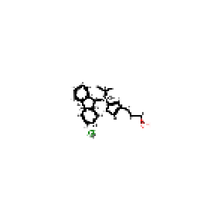 C[C](C)=[Zr+2]([C]1=CC(CCCO)=CC1)[CH]1c2ccccc2-c2ccccc21.[Cl-].[Cl-]